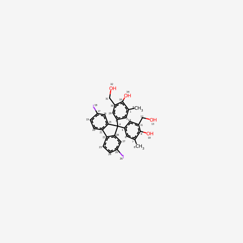 Cc1cc(C2(c3cc(C)c(O)c(CO)c3)c3cc(I)ccc3-c3ccc(I)cc32)cc(CO)c1O